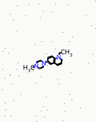 CCN1CC=Cc2cc(N3CCN(C)CC3)ccc21